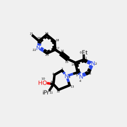 CCc1ncnc(N2CCC(O)(C(C)C)CC2)c1C#Cc1ccc(C)nc1